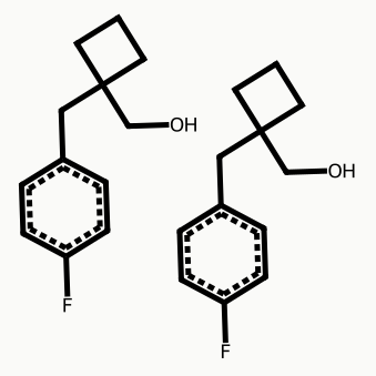 OCC1(Cc2ccc(F)cc2)CCC1.OCC1(Cc2ccc(F)cc2)CCC1